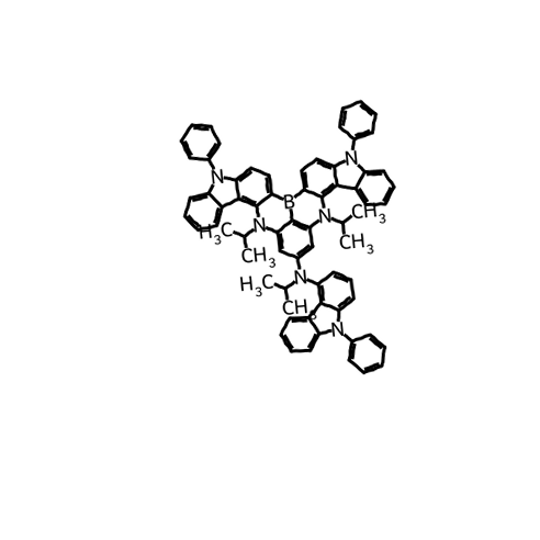 CC(C)N(c1cc2c3c(c1)N(C(C)C)c1c(ccc4c1c1ccccc1n4-c1ccccc1)B3c1ccc3c(c1N2C(C)C)c1ccccc1n3-c1ccccc1)c1cccc2c1c1ccccc1n2-c1ccccc1